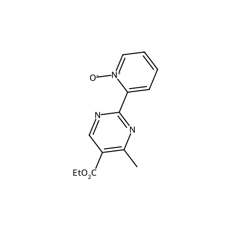 CCOC(=O)c1cnc(-c2cccc[n+]2[O-])nc1C